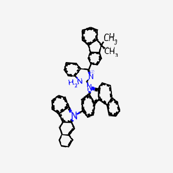 CC1(C)c2ccccc2-c2cc(/C(=N/Cn3c4cc(-n5c6c(c7ccccc75)CC5CCC=CC5=C6)ccc4c4c5ccccc5ccc43)c3ccccc3N)ccc21